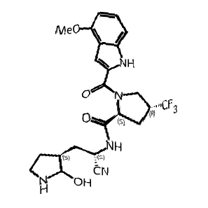 COc1cccc2[nH]c(C(=O)N3C[C@H](C(F)(F)F)C[C@H]3C(=O)N[C@H](C#N)C[C@@H]3CCNC3O)cc12